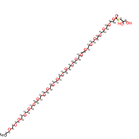 COCCOCCOCCOCCOCCOCCOCCOCCOCCOCCOCCOCCOCCOCCOCCOCCOCCOCCOCCOCCOCCOCCOCCOC(=O)SCC(O)CO